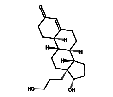 O=C1C=C2CC[C@@H]3[C@H](CC[C@]4(CCCO)[C@@H](O)CC[C@@H]34)[C@H]2CC1